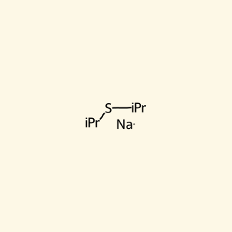 CC(C)SC(C)C.[Na]